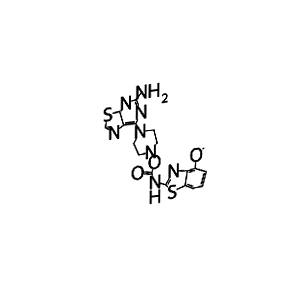 COc1cccc2sc(NC(=O)ON3CCN(c4nc(N)nc5scnc45)CC3)nc12